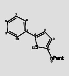 CCCCCc1ccc(-c2ccccc2)s1